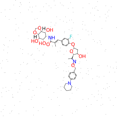 CC(=Cc1ccc(O[C@H]2C[C@@H](O)[C@@H](C(C)=NOCc3ccc(N4CCCCC4)cc3)O2)c(F)c1)C(=O)N[C@@H]1[C@H](O)[C@@H](O)[C@H]2OCO[C@H]2[C@@H]1O